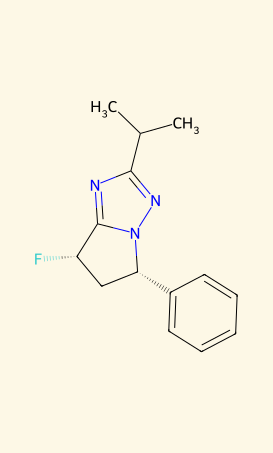 CC(C)c1nc2n(n1)[C@H](c1ccccc1)C[C@@H]2F